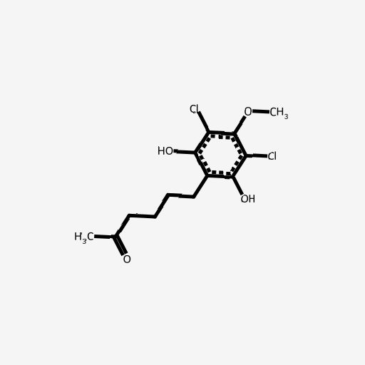 COc1c(Cl)c(O)c(CCCCC(C)=O)c(O)c1Cl